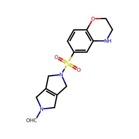 O=CN1CC2=C(C1)CN(S(=O)(=O)c1ccc3c(c1)NCCO3)C2